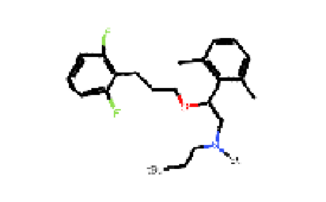 CCN(CCC(C)(C)C)CC(OCCCc1c(F)cccc1F)c1c(C)cccc1C